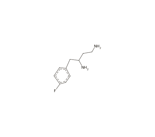 NCCC(N)Cc1ccc(F)cc1